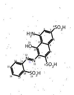 Nc1cc(S(=O)(=O)O)cc2cc(S(=O)(=O)O)c(/N=N/c3ccccc3S(=O)(=O)O)c(O)c12